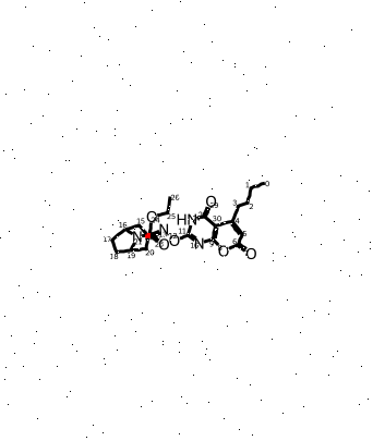 CCCCc1cc(=O)oc2nc(ON=C3CC4CCC(C3)N4C(=O)OCC)[nH]c(=O)c12